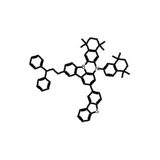 CC1(C)CCC(C)(C)c2cc(N3c4cc5c(cc4B4c6ccc(CCC(c7ccccc7)c7ccccc7)cc6-c6cc(-c7ccc8sc9ccccc9c8c7)cc3c64)C(C)(C)CCC5(C)C)ccc21